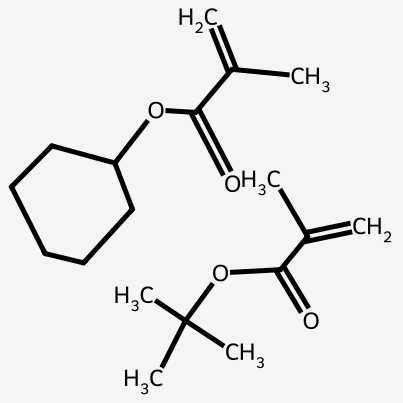 C=C(C)C(=O)OC(C)(C)C.C=C(C)C(=O)OC1CCCCC1